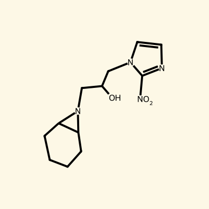 O=[N+]([O-])c1nccn1CC(O)CN1C2CCCCC21